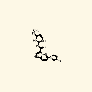 CNC1C=CNC(NC(=O)C2=CNC3C=CC(N4CC[C@H](F)C4)=NN23)N1